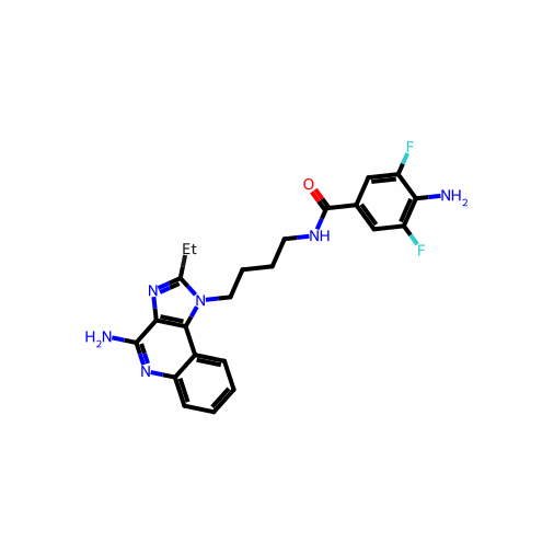 CCc1nc2c(N)nc3ccccc3c2n1CCCCNC(=O)c1cc(F)c(N)c(F)c1